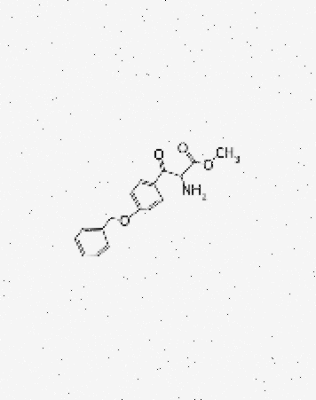 COC(=O)C(N)C(=O)c1ccc(OCc2ccccc2)cc1